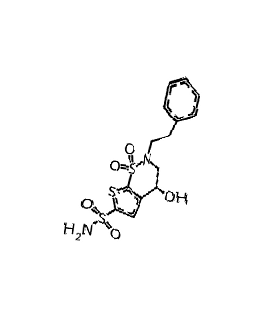 NS(=O)(=O)c1cc2c(s1)S(=O)(=O)N(CCc1ccccc1)C[C@H]2O